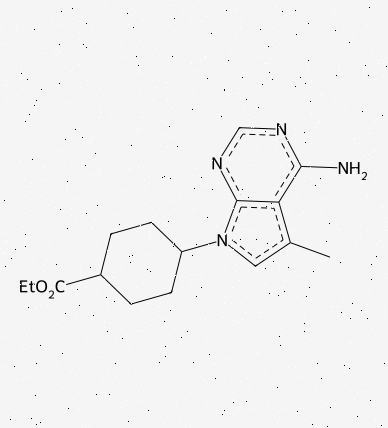 CCOC(=O)C1CCC(n2cc(C)c3c(N)ncnc32)CC1